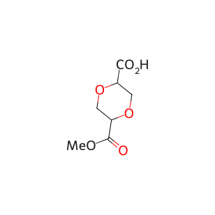 COC(=O)C1COC(C(=O)O)CO1